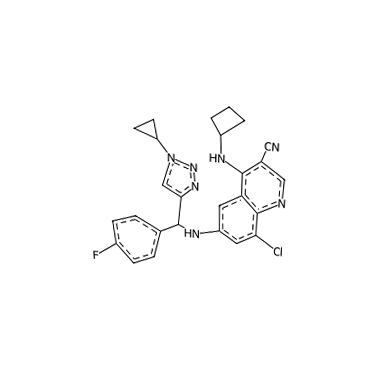 N#Cc1cnc2c(Cl)cc(NC(c3ccc(F)cc3)c3cn(C4CC4)nn3)cc2c1NC1CCC1